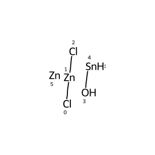 [Cl][Zn][Cl].[OH][SnH].[Zn]